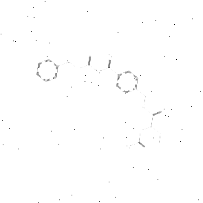 N=C(NC(=O)OCc1ccccc1)c1ccc(CNC(=O)C(CF)OC(N)=O)cc1